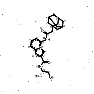 CC(C)(C)[C@@H](CO)NC(=O)c1cn2c(NC(=O)CC34CC5CC(CC(C5)C3)C4)cccc2n1